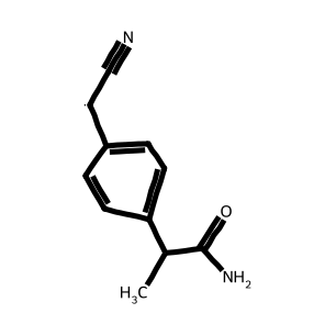 CC(C(N)=O)c1ccc([CH]C#N)cc1